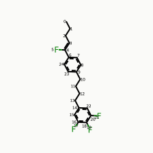 CCCC=C(F)c1ccc(CCCCc2cc(F)c(F)c(F)c2)cc1